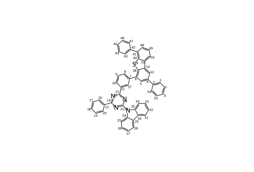 c1ccc(-c2cc(-c3cccc(-c4nc(-c5ccccc5)nc(-n5c6ccccc6c6ccccc65)n4)c3)c3sc4c(-c5ccccc5)cccc4c3c2)cc1